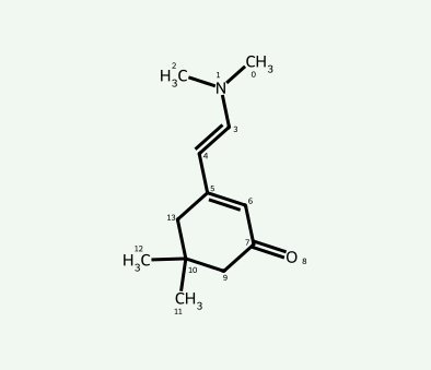 CN(C)C=CC1=CC(=O)CC(C)(C)C1